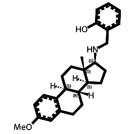 COc1ccc2c(c1)CC[C@@H]1[C@@H]2CC[C@]2(C)[C@@H](NCc3ccccc3O)CC[C@@H]12